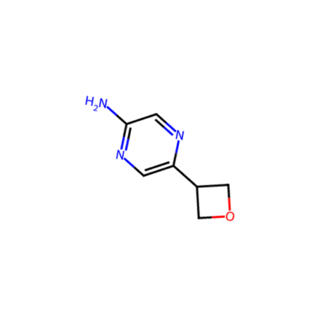 Nc1cnc(C2COC2)cn1